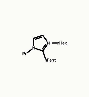 CCCCCC[n+]1ccn(C(C)C)c1CCCCC